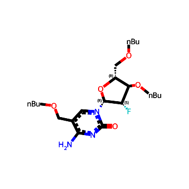 CCCCOCc1cn([C@@H]2O[C@H](COCCCC)C(OCCCC)[C@@H]2F)c(=O)nc1N